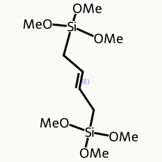 CO[Si](C/C=C/C[Si](OC)(OC)OC)(OC)OC